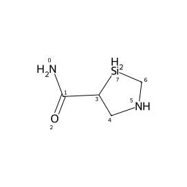 NC(=O)C1CNC[SiH2]1